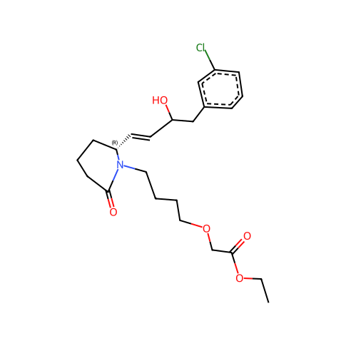 CCOC(=O)COCCCCN1C(=O)CCC[C@@H]1C=CC(O)Cc1cccc(Cl)c1